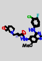 COc1cc2ncnc(Nc3ccc(F)c(Cl)c3)c2cc1NC(=O)/C=C/CN1CCCC2(COC2)C1